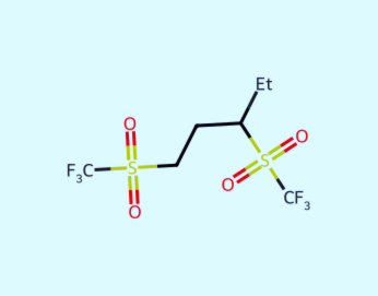 CCC(CCS(=O)(=O)C(F)(F)F)S(=O)(=O)C(F)(F)F